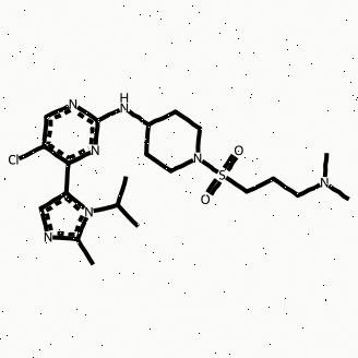 Cc1ncc(-c2nc(NC3CCN(S(=O)(=O)CCCN(C)C)CC3)ncc2Cl)n1C(C)C